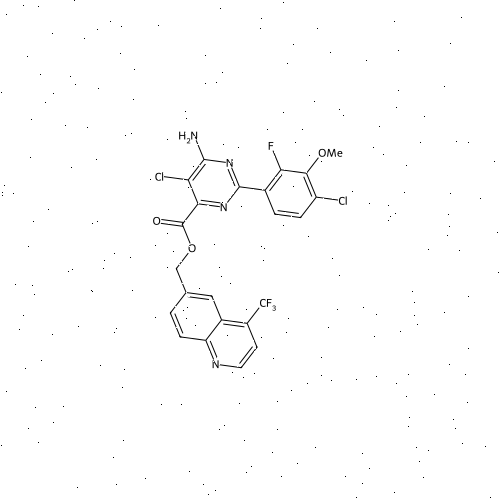 COc1c(Cl)ccc(-c2nc(N)c(Cl)c(C(=O)OCc3ccc4nccc(C(F)(F)F)c4c3)n2)c1F